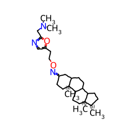 C[C@H]1CCC2C3CCC4CC(=NOCCc5cnc(CN(C)C)o5)CC[C@]4(C)C3CC[C@@]21C